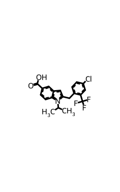 CC(C)n1c(Cc2ccc(Cl)cc2C(F)(F)F)cc2cc(C(=O)O)ccc21